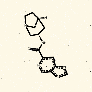 O=C(N[C@@H]1C[C@H]2CCN(C2)C1)c1cc2ncsc2cn1